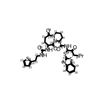 CC(C)CC(=O)C(NC(=O)[C@@H]1CCCN2C(=O)CCC(NC(=O)NCCc3cccs3)C(=O)N12)Sc1nc2ccccc2s1